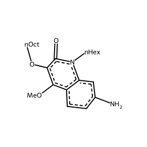 CCCCCCCCOc1c(OC)c2ccc(N)cc2n(CCCCCC)c1=O